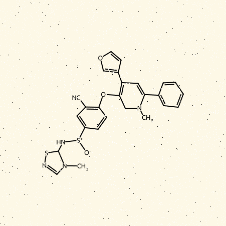 CN1CC(Oc2ccc([S+]([O-])NC3SN=CN3C)cc2C#N)=C(c2ccoc2)C=C1c1ccccc1